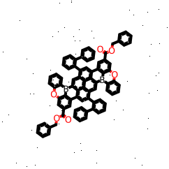 O=C(OCc1ccccc1)c1cc2c3c(c1)-c1cc(-c4ccccc4-c4ccccc4)c4cc5c6c(cc(-c7ccccc7-c7ccccc7)c7cc(c1c4c76)B3c1ccccc1O2)-c1cc(C(=O)OCc2ccccc2)cc2c1B5c1ccccc1O2